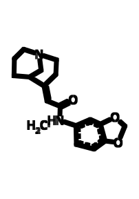 O=C(C=C1CCN2CCCC1C2)Nc1ccc2c(c1)OCO2.[CH2]